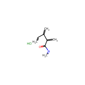 C=CC(=C)C(=C)C(=O)N=C.Cl